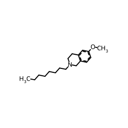 CCCCCCCCN1CCc2cc(OC)ccc2C1